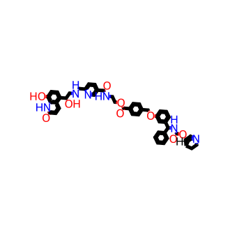 O=C(NC(c1ccccc1)c1cccc(OCc2ccc(C(=O)OCCNC(=O)c3ccc(CNC[C@@H](O)c4ccc(O)c5[nH]c(=O)ccc45)nc3)cc2)c1)O[C@H]1CN2CCC1CC2